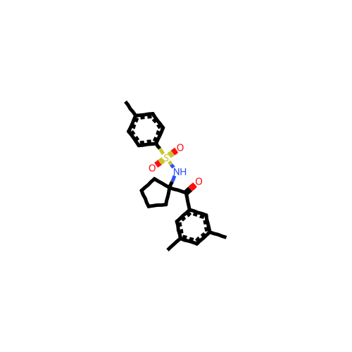 Cc1ccc(S(=O)(=O)NC2(C(=O)c3cc(C)cc(C)c3)CCCC2)cc1